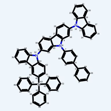 c1ccc(-c2ccc(-n3c4cc(-n5c6ccccc6c6ccccc65)ccc4c4ccc(-n5c6ccccc6c6cc([Si](c7ccccc7)(c7ccccc7)c7ccccc7)ccc65)cc43)cc2)cc1